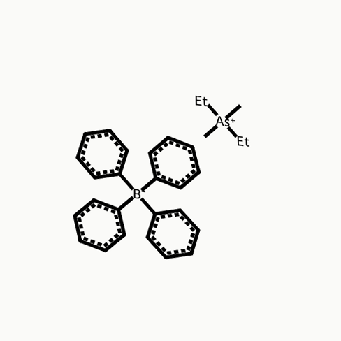 CC[As+](C)(C)CC.c1ccc([B-](c2ccccc2)(c2ccccc2)c2ccccc2)cc1